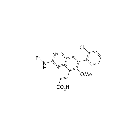 COc1c(-c2ccccc2Cl)cc2cnc(NC(C)C)nc2c1C=CC(=O)O